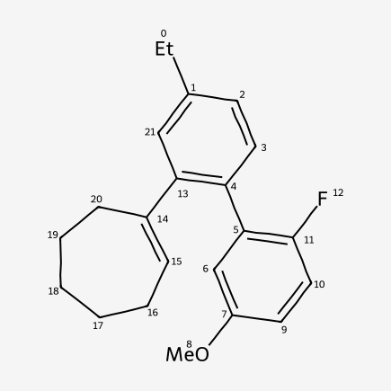 CCc1ccc(-c2cc(OC)ccc2F)c(C2=CCCCCC2)c1